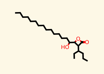 CCCCCCCCCCCCCCC(O)C1OC(=O)C1C(CC)CCC